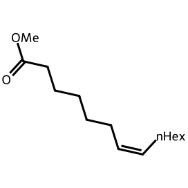 CCCCCC/C=C\CCCCCC(=O)OC